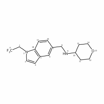 FC(F)(F)Cn1ccc2cc(CNC3CCOCC3)ccc21